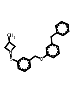 CC1CN(Sc2cccc(COc3cccc(Cc4ccccc4)c3)c2)C1